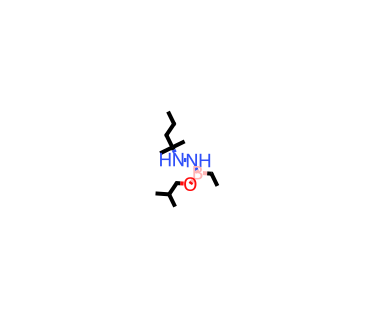 CCCC(C)(C)NNB(CC)OCC(C)C